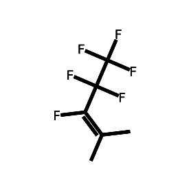 CC(C)=C(F)C(F)(F)C(F)(F)F